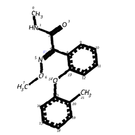 CNC(=O)/C(=N/OC)c1ccccc1Oc1ccccc1C